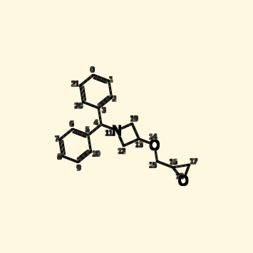 c1ccc(C(c2ccccc2)N2CC(OCC3CO3)C2)cc1